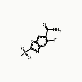 CS(=O)(=O)c1nc2cc(F)c(C(N)=O)cc2s1